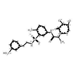 Cc1ccc(NC(=O)[C@H](C)n2ncc(Cl)c(Cl)c2=O)cc1S(=O)(=O)NCCc1cccc(C(=O)O)c1